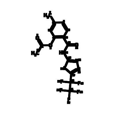 CC(=O)Oc1cc(C)ccc1C(=O)Nc1nnc(C(F)(F)C(F)(F)F)s1